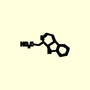 O=C(O)CC1N=CC=C2C1=Nc1ccccc12